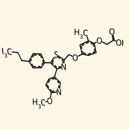 CCCc1ccc(-c2sc(COc3ccc(OCC(=O)O)c(C)c3)nc2-c2ccc(OC)nc2)cc1